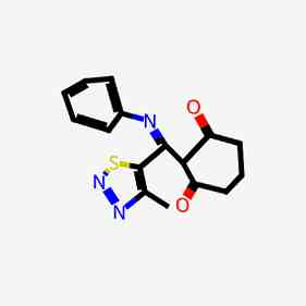 Cc1nnsc1C(=Nc1ccccc1)C1C(=O)CCCC1=O